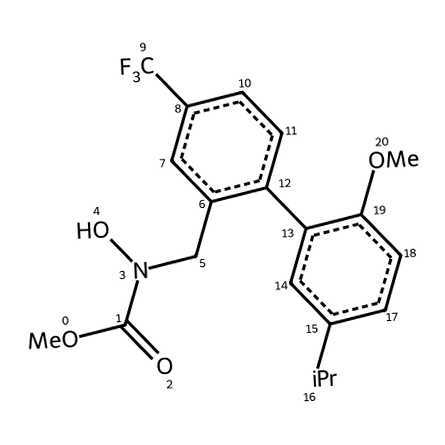 COC(=O)N(O)Cc1cc(C(F)(F)F)ccc1-c1cc(C(C)C)ccc1OC